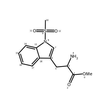 COC(=O)C(N)Cc1cn(S(C)(=O)=O)c2ccccc12